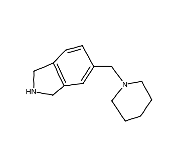 c1cc2c(cc1CN1CCCCC1)CNC2